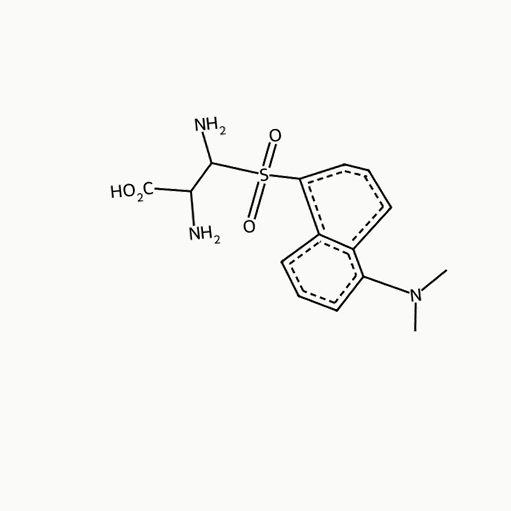 CN(C)c1cccc2c(S(=O)(=O)C(N)C(N)C(=O)O)cccc12